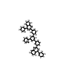 c1ccc(-c2nc(-c3cccc(-c4cc(-c5cccc(-c6nc(-c7ccccc7)c7ccccc7n6)c5)cc(-c5ccccn5)c4)c3)nc3ccccc23)cc1